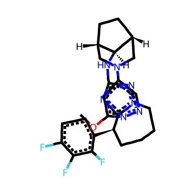 COc1cc(N2C[C@H]3CC[C@@H](C2)[C@@H]3Nc2nc3n(n2)CCCC[C@H]3c2ccc(F)c(F)c2F)cnn1